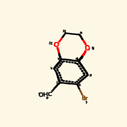 O=Cc1cc2c(cc1Br)OCCO2